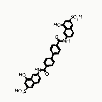 O=C(Nc1ccc2cc(S(=O)(=O)O)cc(O)c2c1)c1ccc(-c2ccc(C(=O)Nc3ccc4cc(S(=O)(=O)O)cc(O)c4c3)cc2)cc1